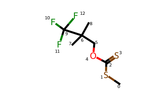 CSC(=S)OCC(C)(C)C(F)(F)F